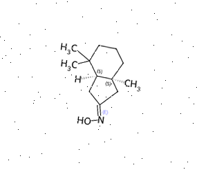 CC1(C)CCC[C@@]2(C)C/C(=N/O)C[C@@H]12